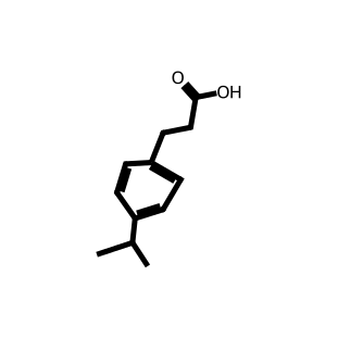 CC(C)c1ccc(CCC(=O)O)cc1